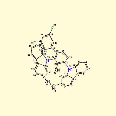 Cc1ccc2c3ccccc3n(-c3ccc(-c4cc(F)cc(F)c4)c(-n4c5ccccc5c5ccc(C)cc54)c3C#N)c2c1